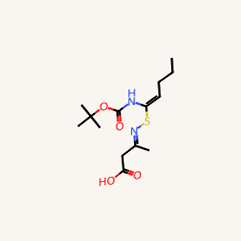 CCC/C=C(\NC(=O)OC(C)(C)C)S/N=C(\C)CC(=O)O